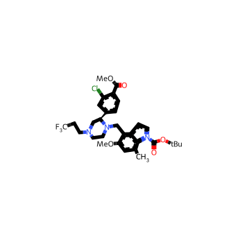 COC(=O)c1ccc([C@@H]2CN(CCC(F)(F)F)CCN2Cc2c(OC)cc(C)c3c2ccn3C(=O)OC(C)(C)C)cc1Cl